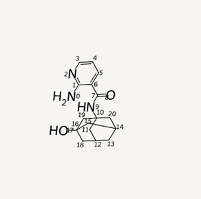 Nc1ncccc1C(=O)NC12CC3CC(CC(O)(C3)C1)C2